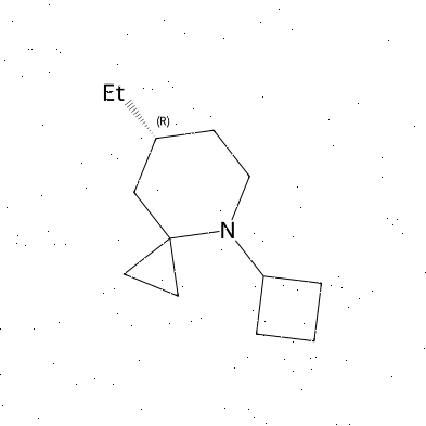 CC[C@@H]1CCN(C2CCC2)C2(CC2)C1